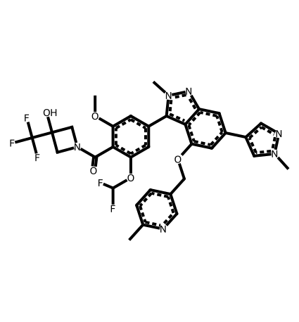 COc1cc(-c2c3c(OCc4ccc(C)nc4)cc(-c4cnn(C)c4)cc3nn2C)cc(OC(F)F)c1C(=O)N1CC(O)(C(F)(F)F)C1